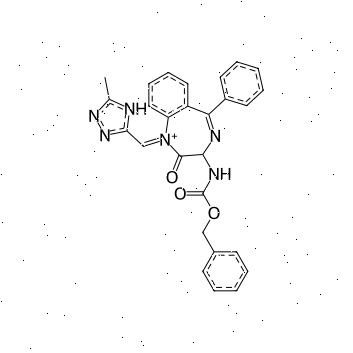 Cc1nnc(C=[N+]2C(=O)C(NC(=O)OCc3ccccc3)N=C(c3ccccc3)c3ccccc32)[nH]1